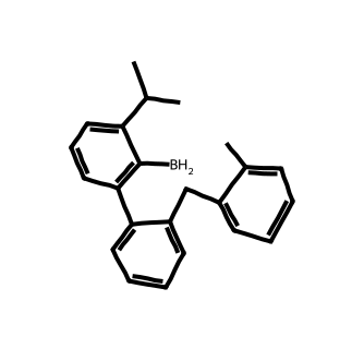 Bc1c(-c2ccccc2Cc2ccccc2C)cccc1C(C)C